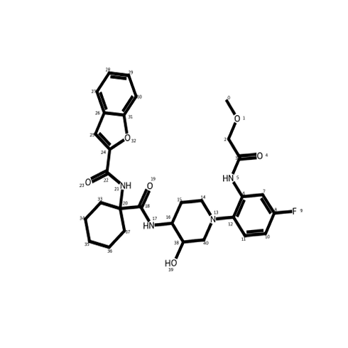 COCC(=O)Nc1cc(F)ccc1N1CCC(NC(=O)C2(NC(=O)c3cc4ccccc4o3)CCCCC2)C(O)C1